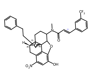 CN(C(=O)/C=C/c1cccc(C(F)(F)F)c1)C1CC[C@@]2(O)[C@H]3Cc4c([N+](=O)[O-])cc(O)c5c4[C@@]2(CCN3CCc2ccccc2)C1O5